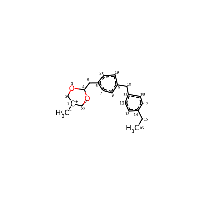 [CH2-][C+]1COC(Cc2ccc(Cc3ccc(CC)cc3)cc2)OC1